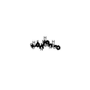 CS(=O)(=O)NCc1cc(F)cc(-c2cncc3[nH]c(-c4n[nH]c5ccc(-c6cncc(NC(=O)CC7CCCCC7)c6)nc45)nc23)c1